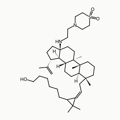 C=C(C)[C@@H]1CC[C@]2(NCCN3CCS(=O)(=O)CC3)CC[C@]3(C)[C@H](CC[C@@H]4[C@@](C)(C/C=C5\C(CCCCCCO)C5(C)C)CCC[C@]43C)[C@@H]12